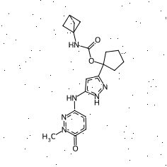 Cn1nc(Nc2cc(C3(OC(=O)NC45CC(C4)C5)CCCC3)n[nH]2)ccc1=O